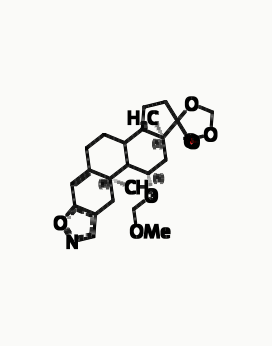 COCO[C@H]1C[C@@]2(C)C(CCC23OCOC32COCO2)C2CCC3=Cc4oncc4C[C@]3(C)C21